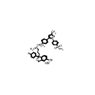 Br.CN(C)CCCC1(c2ccc(F)cc2)OCc2cc(C#N)ccc21.Cc1ccc(-c2cc(C(F)(F)F)nn2-c2ccc(S(N)(=O)=O)cc2)cc1